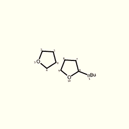 C1CCOC1.CCCCC1CCCO1